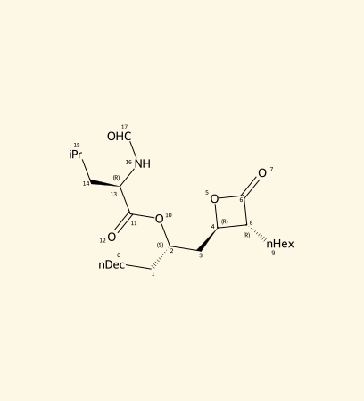 CCCCCCCCCCC[C@@H](C[C@H]1OC(=O)[C@@H]1CCCCCC)OC(=O)[C@@H](CC(C)C)NC=O